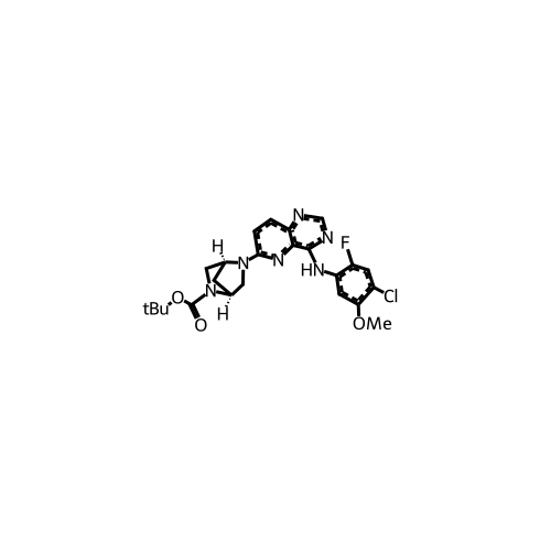 COc1cc(Nc2ncnc3ccc(N4C[C@@H]5C[C@H]4CN5C(=O)OC(C)(C)C)nc23)c(F)cc1Cl